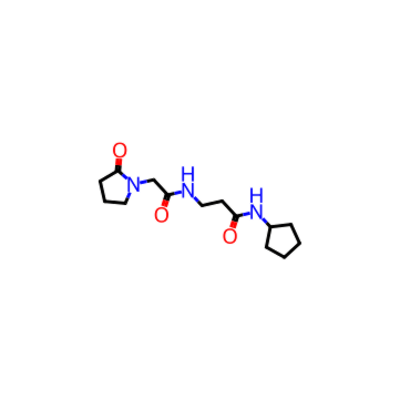 O=C(CN1CCCC1=O)NCCC(=O)NC1CCCC1